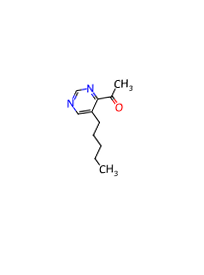 CCCCCc1cncnc1C(C)=O